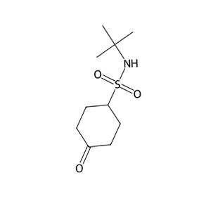 CC(C)(C)NS(=O)(=O)C1CCC(=O)CC1